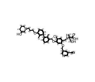 Cc1c(COc2cc(OCc3cncc(C#N)c3)c(CNC(C)(CO)C(=O)O)cc2Cl)cccc1-c1cccc(OCCCN2CCCC(O)C2)c1C